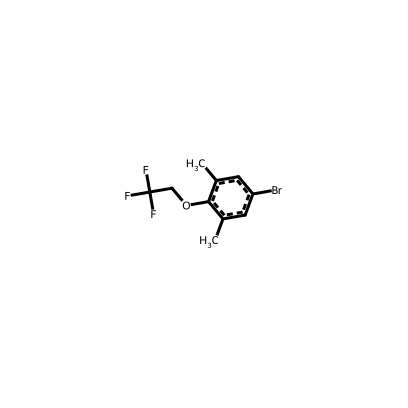 Cc1cc(Br)cc(C)c1OCC(F)(F)F